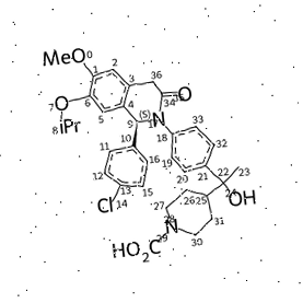 COc1cc2c(cc1OC(C)C)[C@H](c1ccc(Cl)cc1)N(c1ccc(C(C)(O)C3CCN(C(=O)O)CC3)cc1)C(=O)C2